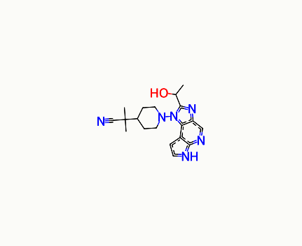 CC(O)c1nc2cnc3[nH]ccc3c2n1N1CCC(C(C)(C)C#N)CC1